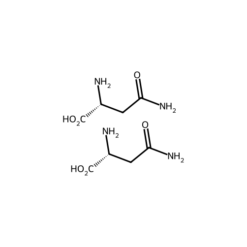 NC(=O)C[C@@H](N)C(=O)O.NC(=O)C[C@@H](N)C(=O)O